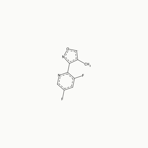 Cc1[c]onc1-c1ncc(F)cc1F